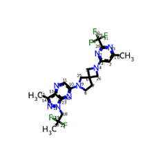 Cc1cc(N2CC3(CCN(c4cnc5c(C)nn(CC(C)(F)F)c5n4)C3)C2)nc(C(F)(F)F)n1